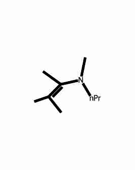 CCCN(C)C(C)=C(C)C